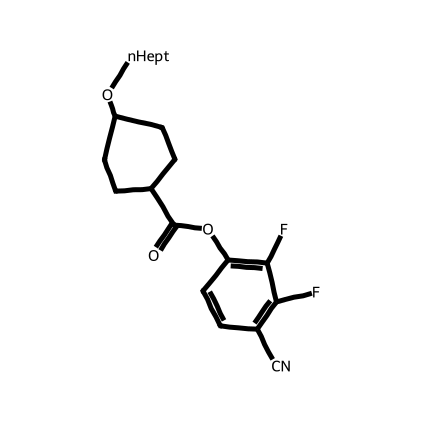 CCCCCCCOC1CCC(C(=O)Oc2ccc(C#N)c(F)c2F)CC1